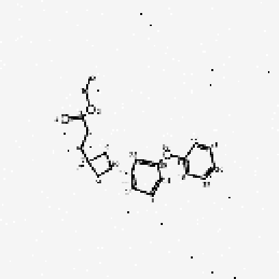 CCOC(=O)CC[C@]1(C)C[C@H](c2cccc(Oc3ccccc3)c2)C1